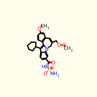 COOCC1=Cc2cc(OC)ccc2-c2c(C3CCCCC3)c3ccc(C(=O)NS(N)(=O)=O)cc3n2C1